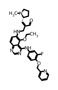 CCOc1c(NC/C(C=O)=C/[C@H]2CCCN2C)ccc2ncnc(Nc3ccc(OCc4ccccn4)c(F)c3)c12